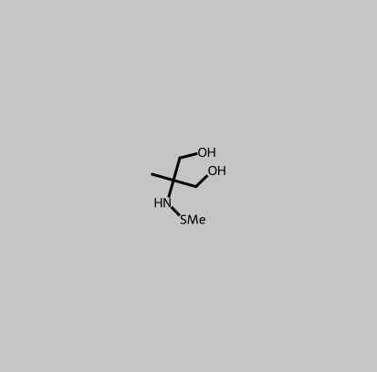 CSNC(C)(CO)CO